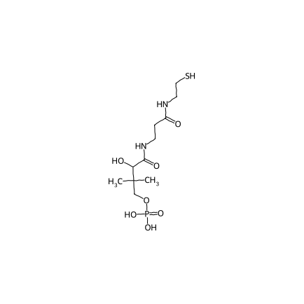 CC(C)(COP(=O)(O)O)C(O)C(=O)NCCC(=O)NCCS